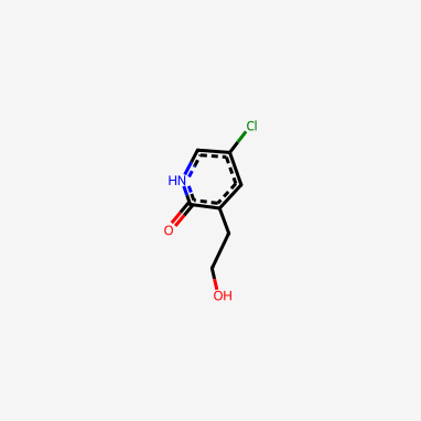 O=c1[nH]cc(Cl)cc1CCO